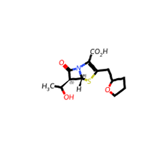 CC(O)[C@H]1C(=O)N2C(C(=O)O)=C(CC3CCCO3)S[C@H]12